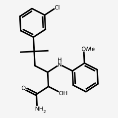 COc1ccccc1NC(CC(C)(C)c1cccc(Cl)c1)C(O)C(N)=O